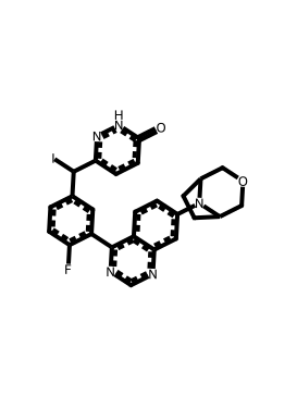 O=c1ccc(C(I)c2ccc(F)c(-c3ncnc4cc(N5C6CCC5COC6)ccc34)c2)n[nH]1